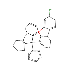 ClC1C=C2OC3C(C4(c5ccccc5)C5=CC=CCC5C5=C4CCCC5)=CCCC3C2=CC1